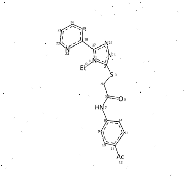 CCn1c(SCC(=O)Nc2ccc(C(C)=O)cc2)nnc1-c1ccccn1